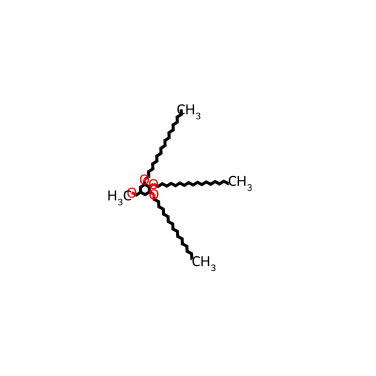 CCCCCCCCCCCCCCCCCCOC1CC(COC)CC(OCCCCCCCCCCCCCCCCCC)C1OCCCCCCCCCCCCCCCCCC